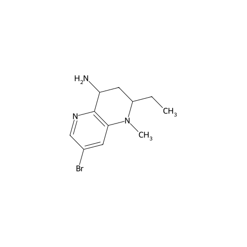 CCC1CC(N)c2ncc(Br)cc2N1C